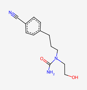 N#Cc1ccc(CCCN(CCO)C(N)=O)cc1